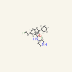 O=C(N[C@@H]1CCNC[C@@H]1F)C12CC3C[C@@](CCF)(C1)C[C@](c1ccccc1)(C3)C2